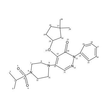 CC(C)S(=O)(=O)N1CCN(c2cnn(-c3ccccc3)c(=O)c2OC2CCC(C)(C)C2)CC1